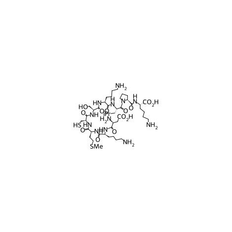 CSCC[C@H](NC(=O)[C@H](CCCCN)NC(=O)[C@@H](N)CC(=O)O)C(=O)N[C@@H](CS)C(=O)N[C@@H](CO)C(=O)N[C@@H](CCCCN)C(=O)N[C@@H](CC(C)C)C(=O)N1CCC[C@H]1C(=O)N[C@@H](CCCCN)C(=O)O